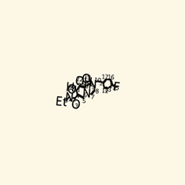 CCNC(=O)c1cn2ccn(Cc3ccc(F)cc3)c(=O)c2c(O)c1=O